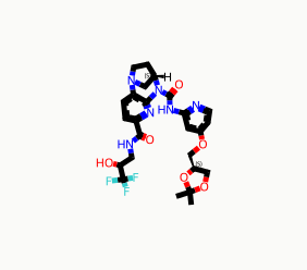 CC1(C)OC[C@H](COc2ccnc(NC(=O)N3c4nc(C(=O)NCC(O)C(F)(F)F)ccc4N4CC[C@H]3C4)c2)O1